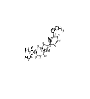 COc1cccc(-c2cc3n(n2)CCCN(C(C)C)C3)n1